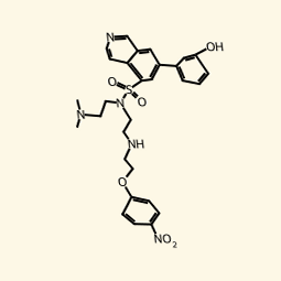 CN(C)CCN(CCNCCOc1ccc([N+](=O)[O-])cc1)S(=O)(=O)c1cc(-c2cccc(O)c2)cc2cnccc12